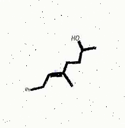 C/C(=C\CC(C)C)CCC(C)O